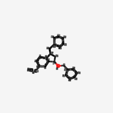 O=C(O)c1ccc2c(c1)C(OCc1ccccc1)C[C@@H]2Cc1ccccc1